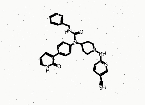 O=C(NCc1ccccc1)N(c1ccc(-c2ccc[nH]c2=O)cc1)C1CCN(Nc2ccc(C#[SH])cn2)CC1